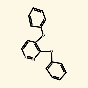 c1ccc(Oc2ccpnc2Oc2ccccc2)cc1